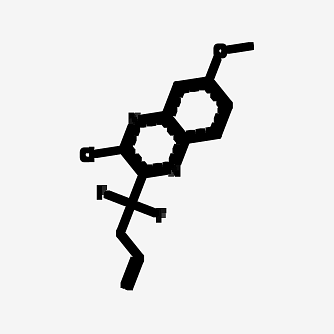 C=CCC(F)(F)c1nc2ccc(OC)cc2nc1Cl